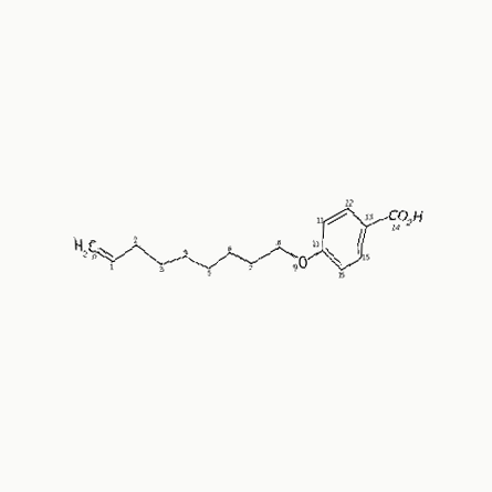 C=CCCCCCCCOc1ccc(C(=O)O)cc1